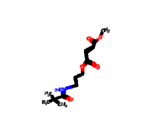 COC(=O)/C=C/C(=O)OCCCNC(=O)C(C)(C)C